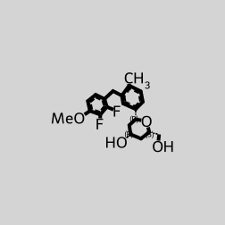 COc1ccc(Cc2cc([C@H]3C[C@@H](O)C[C@@H](CO)O3)ccc2C)c(F)c1F